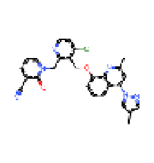 Cc1cnn(-c2cc(C)nc3c(OCc4c(Cl)ccnc4Cn4cccc(C#N)c4=O)cccc23)c1